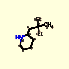 CCC(C)(CC)CC1CCCCN1